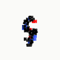 CN(CCO)CC1CCN(c2nnc3ccc(O[C@@H]4CC[C@H](NC(=O)Nc5cc(C(C)(C)C)nn5C)c5ccccc54)cn23)CC1